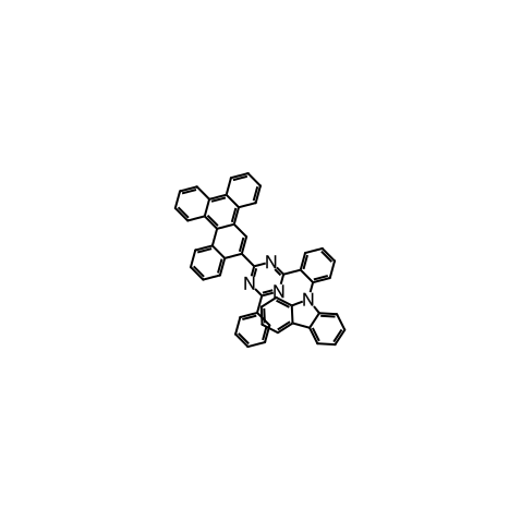 c1ccc(-c2nc(-c3ccccc3-n3c4ccccc4c4ccccc43)nc(-c3cc4c5ccccc5c5ccccc5c4c4ccccc34)n2)cc1